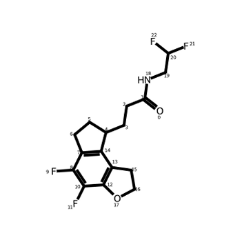 O=C(CCC1CCc2c(F)c(F)c3c(c21)CCO3)NCC(F)F